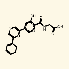 O=C(O)CNC(=O)c1ncc(C2=COC=C(C3=CC=CCC3)O2)cc1O